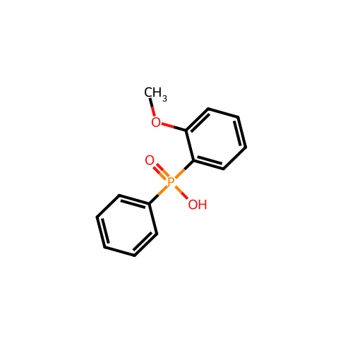 COc1ccccc1P(=O)(O)c1ccccc1